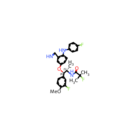 COc1ccc([C@@H](Oc2ccc(Nc3ccc(F)cc3)c(C=N)c2)[C@H](C)NC(=O)C(C)(C)F)cc1F